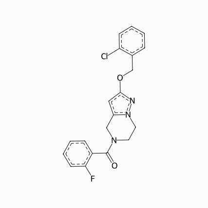 O=C(c1ccccc1F)N1CCn2nc(OCc3ccccc3Cl)cc2C1